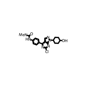 CNC(=O)Nc1ccc(-c2nc(Cl)nc3c2cnn3C2CCC(O)CC2)cc1